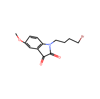 COc1ccc2c(c1)C(=O)C(=O)N2CCCCBr